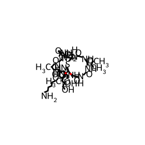 CCC(C)[C@@H]1NC(=O)CNC(=O)C2Cc3c([nH]c4cc(OCCCCCCN)ccc34)SC[C@H](NC(=O)CNC1=O)C(=O)N(N)[C@@H](CC(N)=O)C(=O)N1CC(C)CC1C(=O)NC([C@@H](C)[C@@H](O)CO)C(=O)N2